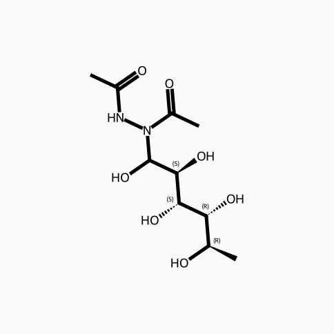 CC(=O)NN(C(C)=O)C(O)[C@@H](O)[C@@H](O)[C@H](O)[C@@H](C)O